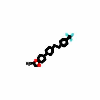 CC1COC2(CCC(C3CC=C(CCc4ccc(C(F)(F)F)cc4)CC3)CC2)O1